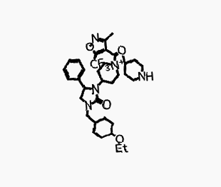 CCOC1CCC(CN2CC(c3ccccc3)N(C3CC[N+](C(=O)c4c(C)noc4C(F)(F)F)(C4(C)CCNCC4)CC3)C2=O)CC1